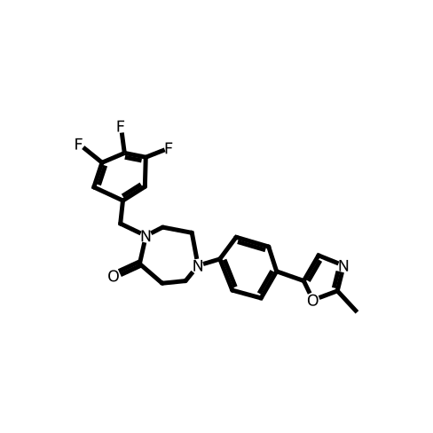 Cc1ncc(-c2ccc(N3CCC(=O)N(Cc4cc(F)c(F)c(F)c4)CC3)cc2)o1